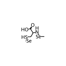 C[Se]NC(CS)C(=O)O.[Se]